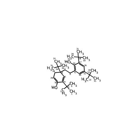 CC(C)(C)C1=CC(CCc2cc(C(C)(C)C)cc(C(C)(C)C)c2O)(C(C)(C)C)CC=C1O